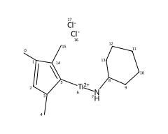 CC1=CC(C)[C]([Ti+2][NH]C2CCCCC2)=C1C.[Cl-].[Cl-]